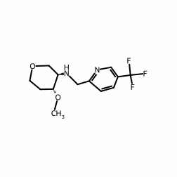 CO[C@@H]1CCOC[C@H]1NCc1ccc(C(F)(F)F)cn1